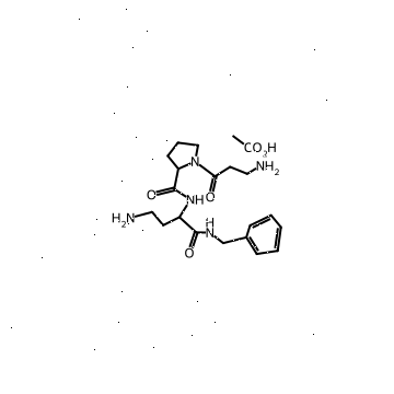 CC(=O)O.NCCC(=O)N1CCCC1C(=O)NC(CCN)C(=O)NCc1ccccc1